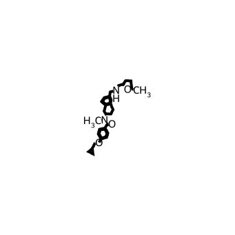 CC1CCC(CNCc2ccc3c(c2)CC[C@H](N(C)C(=O)c2ccc(OCC4CC4)cc2)C3)O1